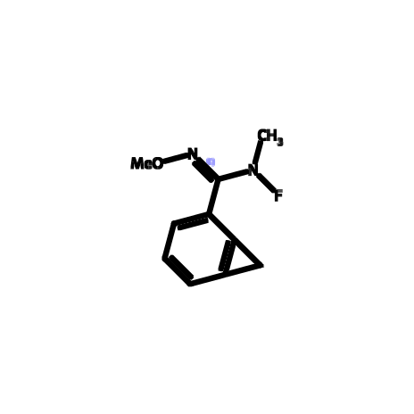 CO/N=C(\c1cccc2c1C2)N(C)F